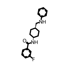 O=C(N[C@H]1CC[C@H](CNc2ccccc2)CC1)c1cccc(F)c1